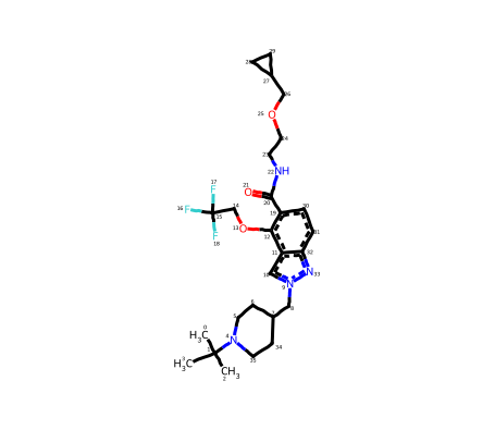 CC(C)(C)N1CCC(Cn2cc3c(OCC(F)(F)F)c(C(=O)NCCOCC4CC4)ccc3n2)CC1